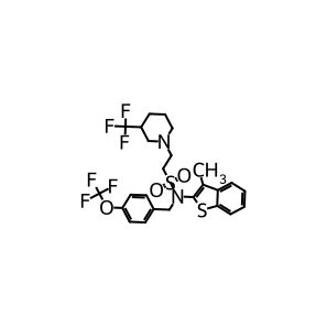 Cc1c(N(Cc2ccc(OC(F)(F)F)cc2)S(=O)(=O)CCN2CCCC(C(F)(F)F)C2)sc2ccccc12